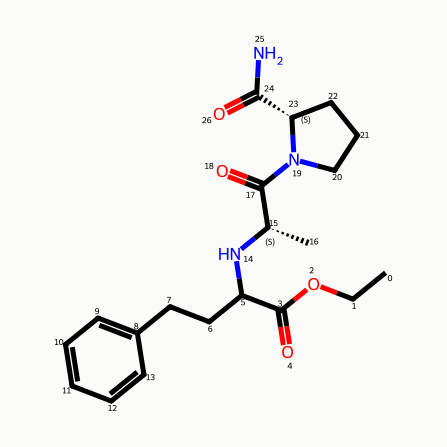 CCOC(=O)C(CCc1ccccc1)N[C@@H](C)C(=O)N1CCC[C@H]1C(N)=O